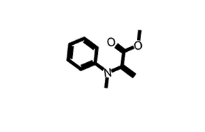 C=C(C(=O)OC)N(C)c1ccccc1